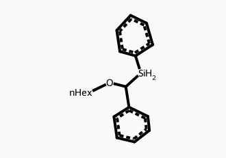 CCCCCCOC([SiH2]c1ccccc1)c1ccccc1